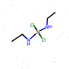 CCN[Si](Cl)(Cl)NCC